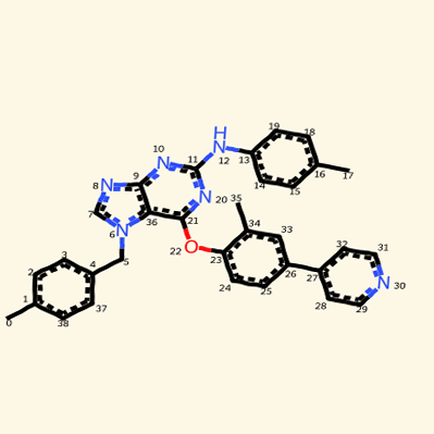 Cc1ccc(Cn2cnc3nc(Nc4ccc(C)cc4)nc(Oc4ccc(-c5ccncc5)cc4C)c32)cc1